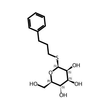 OC[C@H]1O[C@@H](SCCCc2ccccc2)[C@@H](O)[C@@H](O)[C@@H]1O